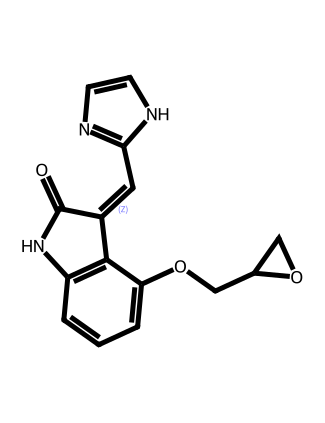 O=C1Nc2cccc(OCC3CO3)c2/C1=C/c1ncc[nH]1